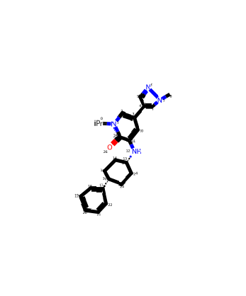 CC(C)n1cc(-c2cnn(C)c2)cc(N[C@H]2CC[C@@H](c3ccccc3)CC2)c1=O